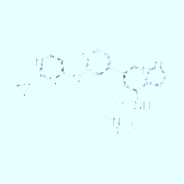 CN(C)S(=O)(=O)Nc1cc(-c2ccnc(Nc3ccnc(C4CC4)n3)c2)cn2nccc12